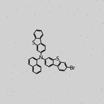 Brc1ccc2c(c1)sc1cc(N(c3ccc4c(c3)sc3ccccc34)c3cccc4ccccc34)ccc12